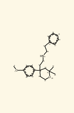 COc1ccc(C2(CCNCCc3ccccc3)CCOC(C)(C)C2)cc1